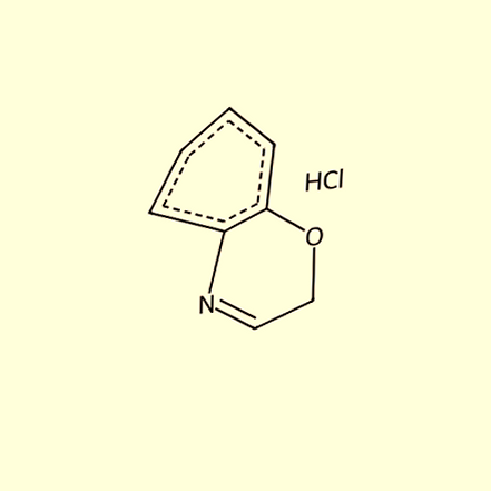 C1=Nc2ccccc2OC1.Cl